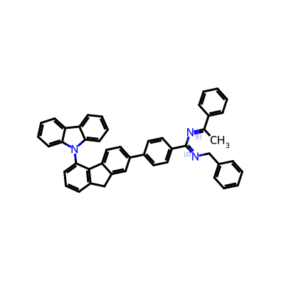 C/C(=N\C(=N/Cc1ccccc1)c1ccc(-c2ccc3c(c2)Cc2cccc(-n4c5ccccc5c5ccccc54)c2-3)cc1)c1ccccc1